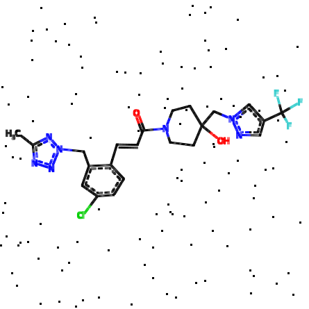 Cc1nnn(Cc2cc(Cl)ccc2/C=C/C(=O)N2CCC(O)(Cn3cc(C(F)(F)F)cn3)CC2)n1